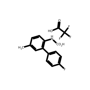 Cc1ccc(NC(=O)O)c(-c2ccc(F)cc2)c1.O=C(O)C(F)(F)F